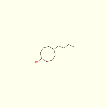 CCCCC1CCCC(O)CCC1